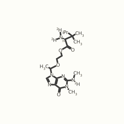 [2H]N(C)c1nc2c(ncn2C(C)OCCOC(=O)[C@@H](N([2H])[2H])C(C)(C)C(C)C)c(=O)n1C